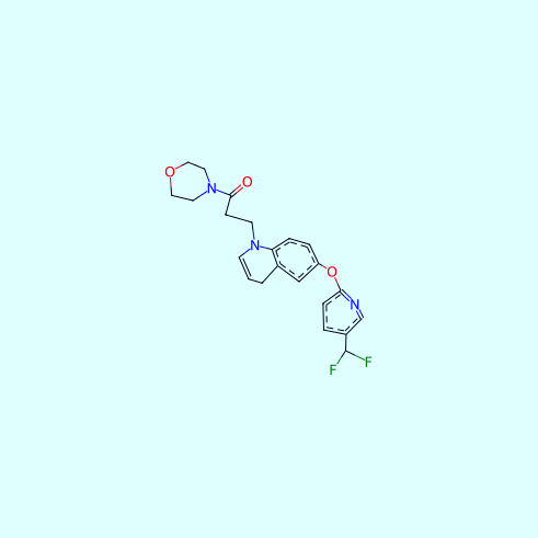 O=C(CCN1C=CCc2cc(Oc3ccc(C(F)F)cn3)ccc21)N1CCOCC1